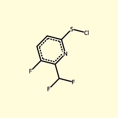 Fc1ccc(SCl)nc1C(F)F